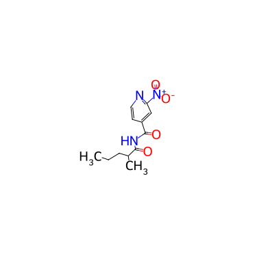 CCCC(C)C(=O)NC(=O)c1ccnc([N+](=O)[O-])c1